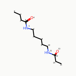 CCCC(=O)NCCCCCNC(=O)CC